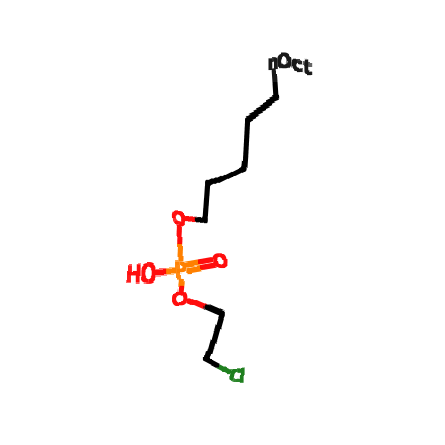 CCCCCCCCCCCCCOP(=O)(O)OCCCl